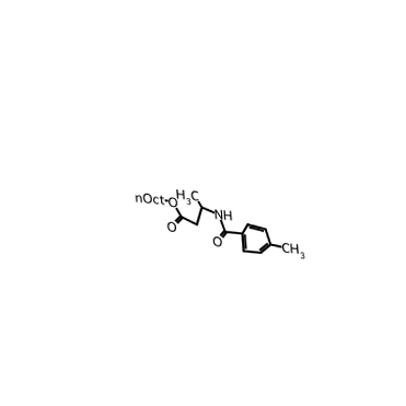 CCCCCCCCOC(=O)CC(C)NC(=O)c1ccc(C)cc1